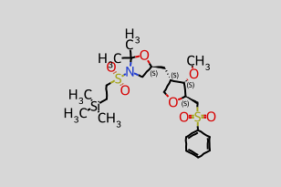 CO[C@H]1[C@@H](C[C@H]2CN(S(=O)(=O)CC[Si](C)(C)C)C(C)(C)O2)CO[C@@H]1CS(=O)(=O)c1ccccc1